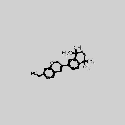 CC1(C)CCC(C)(C)c2cc(C3=Cc4ccc(CO)cc4OC3)ccc21